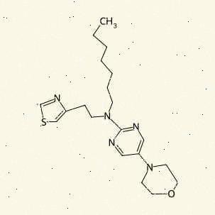 CCCCCCCN(CCc1cs[c]n1)c1ncc(N2CCOCC2)cn1